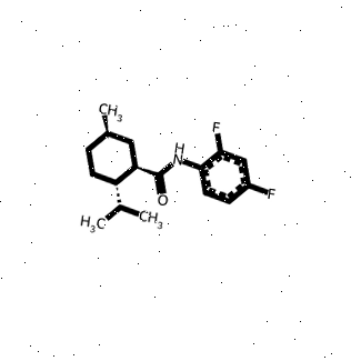 CC(C)[C@@H]1CC[C@@H](C)C[C@H]1C(=O)Nc1ccc(F)cc1F